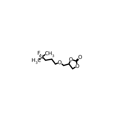 C[Si](C)(F)CCCOCC1COC(=O)O1